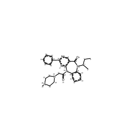 CCC(C)N1C(=O)c2cnc(-c3ccccc3)nc2N(C(=O)CN2CCN(C)CC2)c2ccccc21